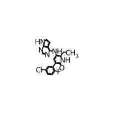 CCc1[nH]c(=O)c(-c2cc(Cl)ccc2F)cc1Nc1ncnc2[nH]ccc12